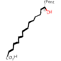 CCCCC[C@H](O)CCCC=CC=CC=CC=CC=CC(=O)O